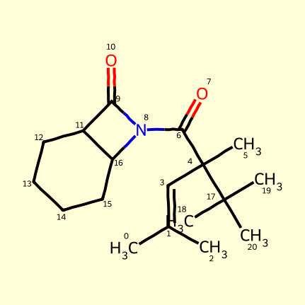 CC(C)=CC(C)(C(=O)N1C(=O)C2CCCCC21)C(C)(C)C